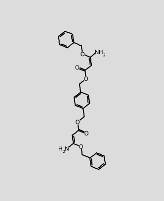 NC(=CC(=O)OCc1ccc(COC(=O)C=C(N)OCc2ccccc2)cc1)OCc1ccccc1